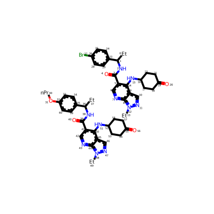 CCC(NC(=O)c1cnc2c(cnn2CC)c1NC1CCC(=O)CC1)c1ccc(Br)cc1.CCCOc1ccc(C(CC)NC(=O)c2cnc3c(cnn3CC)c2NC2CCC(=O)CC2)cc1